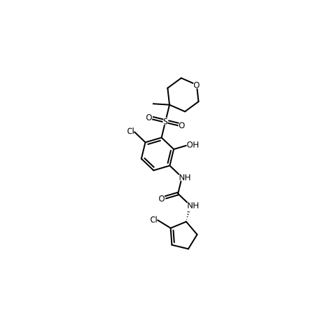 CC1(S(=O)(=O)c2c(Cl)ccc(NC(=O)N[C@@H]3CCC=C3Cl)c2O)CCOCC1